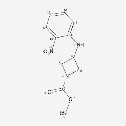 CC(C)(C)OC(=O)N1CC(Nc2ccccc2[N+](=O)[O-])C1